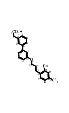 O=C(O)Cc1cccc(-c2cccc(OCC=Cc3ccc(C(F)(F)F)cc3F)c2)c1